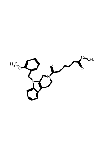 COC(=O)CCCCC(=O)N1CCc2c(n(Cc3ccccc3OC)c3ccccc23)C1